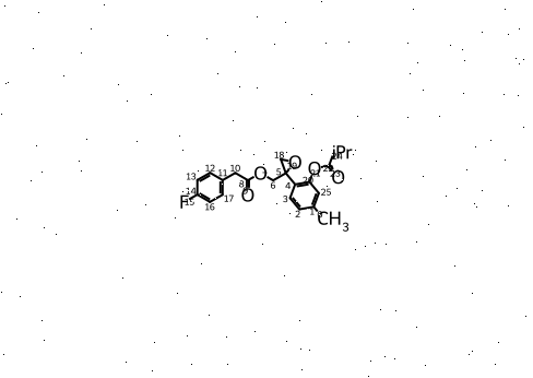 Cc1ccc(C2(COC(=O)Cc3ccc(F)cc3)CO2)c(OC(=O)C(C)C)c1